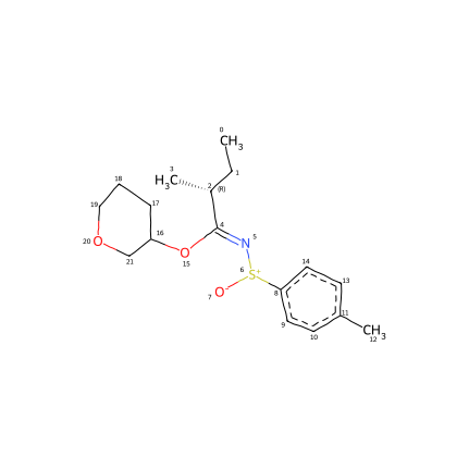 CC[C@@H](C)C(=N[S+]([O-])c1ccc(C)cc1)OC1CCCOC1